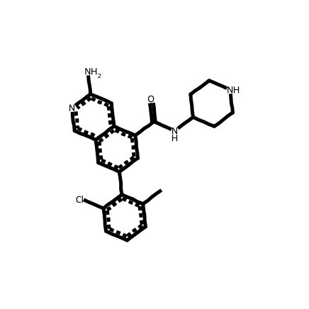 Cc1cccc(Cl)c1-c1cc(C(=O)NC2CCNCC2)c2cc(N)ncc2c1